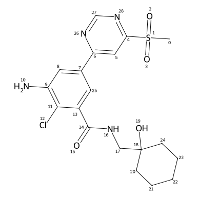 CS(=O)(=O)c1cc(-c2cc(N)c(Cl)c(C(=O)NCC3(O)CCCCC3)c2)ncn1